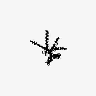 CCCCCCCCCCCOB(OCCCCCCCCCCC)OCC(COB(Cl)Cl)(COB(OCCOCCCC)OCCOCCCC)COB(c1ccc(C(C)=O)cc1)c1ccc(C(C)=O)cc1